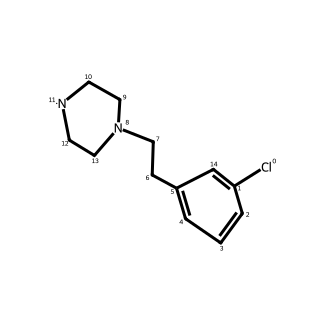 Clc1cccc(CCN2CC[N]CC2)c1